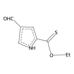 CCOC(=S)c1cc(C=O)c[nH]1